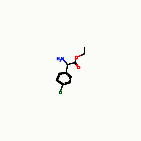 CCOC(=O)C(N)c1ccc(Cl)cc1